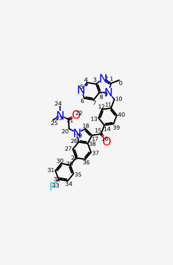 Cc1nc2cnccc2n1Cc1ccc(C(=O)c2cn(CC(=O)N(C)C)c3cc(-c4ccc(F)cc4)ccc23)cc1